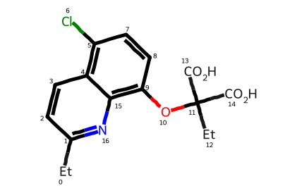 CCc1ccc2c(Cl)ccc(OC(CC)(C(=O)O)C(=O)O)c2n1